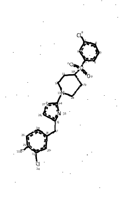 O=S(=O)(c1cccc(Cl)c1)C1CCN(c2nc(Cc3ccc(F)c(Cl)c3)cs2)CC1